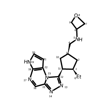 CC[C@@H]1C[C@H](CNC2COC2)C[C@@H]1c1nnc2cnc3[nH]ccc3n12